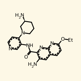 CCOc1ccc2cc(N)c(C(=O)Nc3cnccc3N3CCC[C@H](N)C3)nc2n1